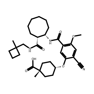 COc1cc(C#N)c(O[C@H]2CC[C@@](C)(C(=O)O)CC2)cc1C(=O)N[C@H]1CCCCCC[C@H]1C(=O)NCC1(C)CCC1